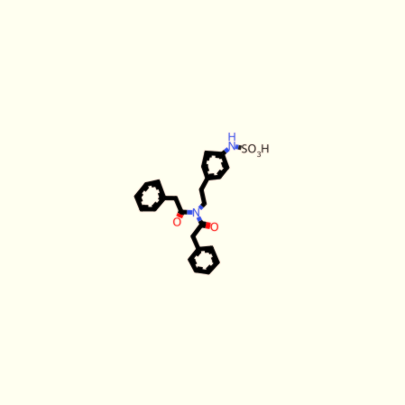 O=C(Cc1ccccc1)N(CCc1ccc(NS(=O)(=O)O)cc1)C(=O)Cc1ccccc1